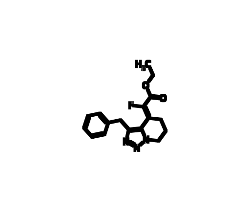 CCOC(=O)/C(F)=C1\CCCn2nnc(Cc3ccccc3)c21